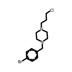 ClCCCN1CCN(Cc2ccc(Br)cc2)CC1